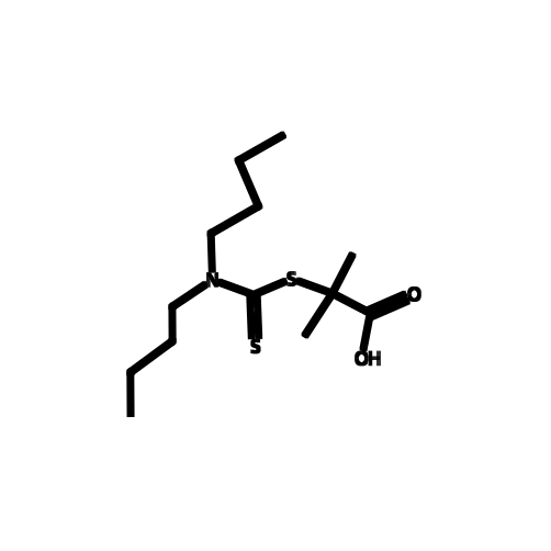 CCCCN(CCCC)C(=S)SC(C)(C)C(=O)O